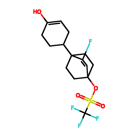 O=S(=O)(OC12C=C(F)C(C3CC=C(O)CC3)(CC1)CC2)C(F)(F)F